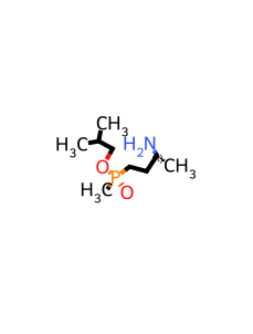 CC(C)COP(C)(=O)CC[C@@H](C)N